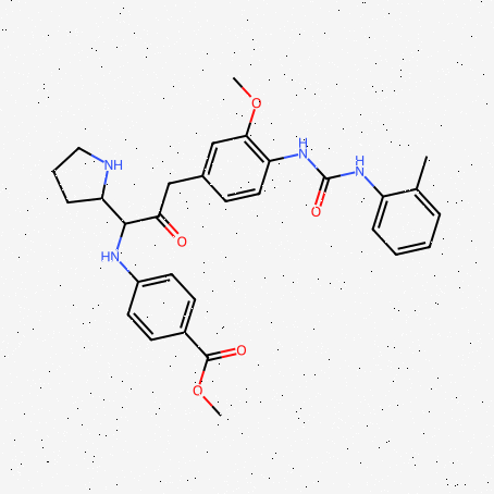 COC(=O)c1ccc(NC(C(=O)Cc2ccc(NC(=O)Nc3ccccc3C)c(OC)c2)C2CCCN2)cc1